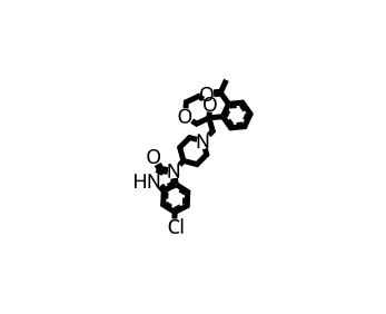 CC(=O)c1ccccc1C1(CN2CCC(n3c(=O)[nH]c4cc(Cl)ccc43)CC2)COCCO1